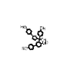 CC(c1ccc(O)cc1)(c1cc(-c2ccc(O)cc2)ccc1O)C1C=CC(c2ccc(O)cc2)=C1